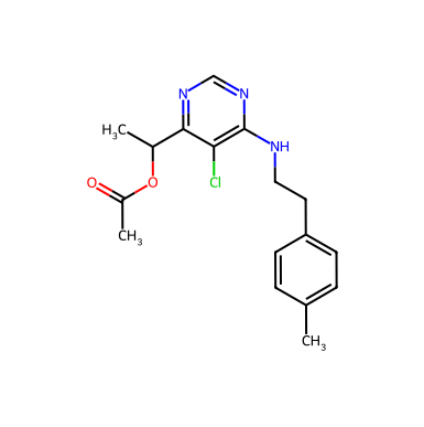 CC(=O)OC(C)c1ncnc(NCCc2ccc(C)cc2)c1Cl